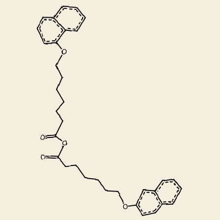 O=C(CCCCCCOc1ccc2ccccc2c1)OC(=O)CCCCCCOc1cccc2ccccc12